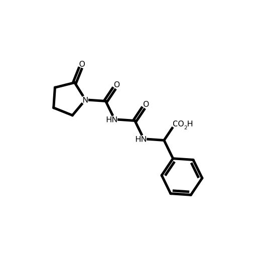 O=C(NC(=O)N1CCCC1=O)NC(C(=O)O)c1ccccc1